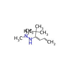 C=C/C=C(/NN(C)C)C(C)(C)C